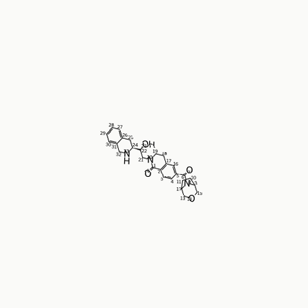 O=C1c2ccc(C(=O)N3C4CCC3COC4)cc2CCN1CC(O)[C@@H]1Cc2ccccc2CN1